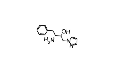 N[C@H](Cc1ccccc1)[C@@H](O)Cn1cccn1